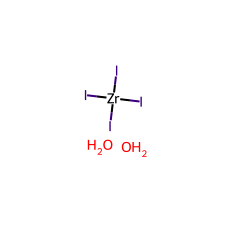 O.O.[I][Zr]([I])([I])[I]